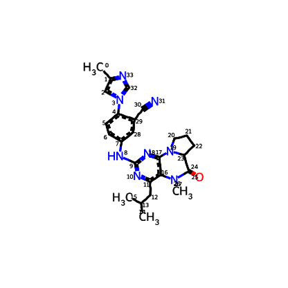 Cc1cn(-c2ccc(Nc3nc(CC(C)C)c4c(n3)N3CCCC3C(=O)N4C)cc2C#N)cn1